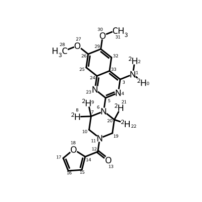 [2H]N([2H])c1nc(N2C([2H])([2H])CN(C(=O)c3ccco3)CC2([2H])[2H])nc2cc(OC)c(OC)cc12